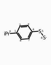 CC(C)c1ccc(S[S])cc1